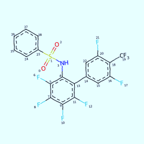 O=S(=O)(Nc1c(F)c(F)c(F)c(F)c1-c1cc(F)c(C(F)(F)F)c(F)c1)c1ccccc1